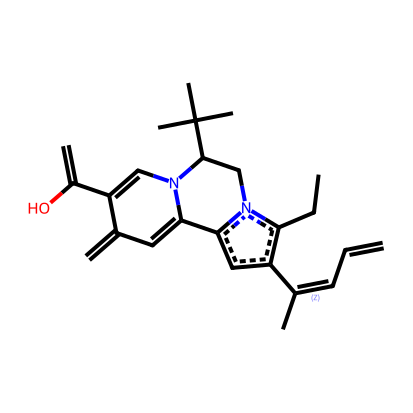 C=C/C=C(/C)c1cc2n(c1CC)CC(C(C)(C)C)N1C=C(C(=C)O)C(=C)C=C21